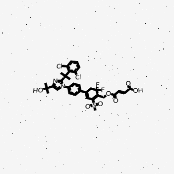 CC(C)(O)c1cn(-c2ccc(C3=CC(S(C)(=O)=O)=C(COC(=O)C=CC(=O)O)C(F)(F)C3)cc2)c(C(C)(C)c2c(Cl)cccc2Cl)n1